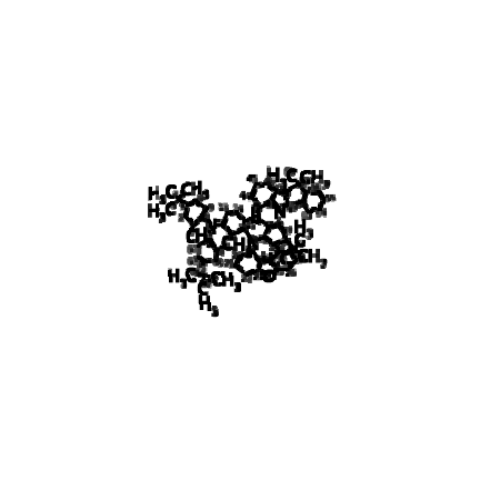 Cc1cc(C(C)(C)C)ccc1N(c1ccc2c(c1)N(c1cccc3oc4ccccc4c13)c1cc(C(C)(C)C)cc3c1B2c1cccc2c4c(n-3c12)-c1ccccc1C4(C)C)c1ccc(C(C)(C)C)cc1C